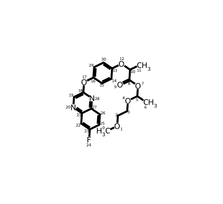 COCCOC(C)OC(=O)C(C)Oc1ccc(Oc2cnc3cc(F)ccc3n2)cc1